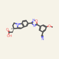 COc1cc(C#N)cc(-c2nc(-c3ccc4c(c3)cc3n4CC[C@@H]3CC(=O)O)no2)c1